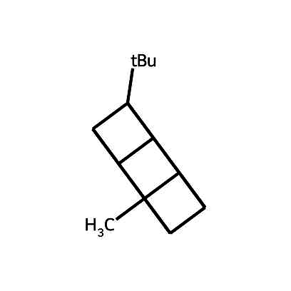 CC12C3C4C1C1C2C3C41C(C)(C)C